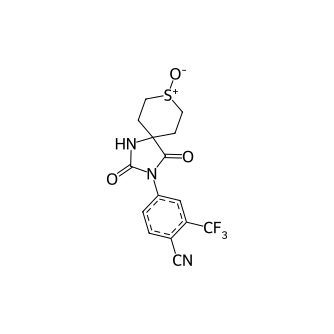 N#Cc1ccc(N2C(=O)NC3(CC[S+]([O-])CC3)C2=O)cc1C(F)(F)F